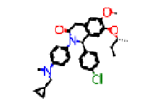 CC[C@@H](C)Oc1cc2c(cc1OC)CC(=O)N(c1ccc(N(C)CC3CC3)cc1)C2c1ccc(Cl)cc1